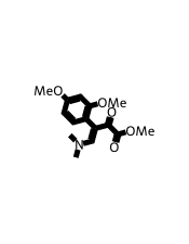 COC(=O)C(=O)C(=CN(C)C)c1ccc(OC)cc1OC